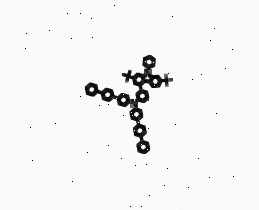 CC(C)(C)c1ccc2c3c(-c4cccc(N(c5ccc(-c6ccc(-c7ccccc7)cc6)cc5)c5ccc(-c6ccc(-c7ccccc7)cc6)cc5)c4)cc(C(C)(C)C)cc3n(-c3ccccc3)c2c1